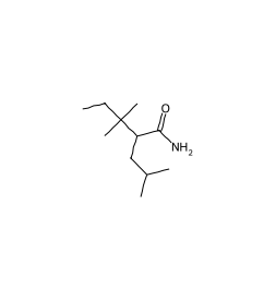 CCC(C)(C)C(CC(C)C)C(N)=O